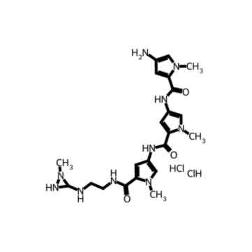 CN1NC1NCCNC(=O)c1cc(NC(=O)c2cc(NC(=O)c3cc(N)cn3C)cn2C)cn1C.Cl.Cl